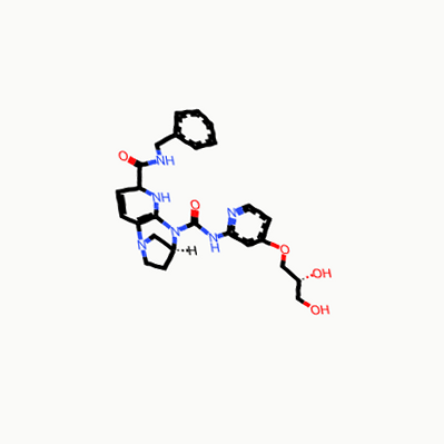 O=C(NCc1ccccc1)C1C=CC2=C(N1)N(C(=O)Nc1cc(OC[C@H](O)CO)ccn1)[C@H]1CCN2C1